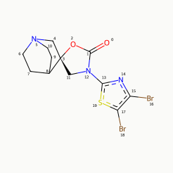 O=C1O[C@]2(CN3CCC2CC3)CN1c1nc(Br)c(Br)s1